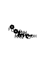 Nc1c(OC2CCO[C@H](CO)C2)cnc2[nH]cc(C(=O)c3ccc(Oc4ccccc4F)cc3Cl)c12